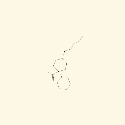 CCCCC[C@H]1CC[C@@](C(=O)O)(C2CCCCC2)CC1